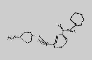 N[C@H]1CC[C@H](CNc2cccc(C(=O)NC3CCCCC3)c2)CC1